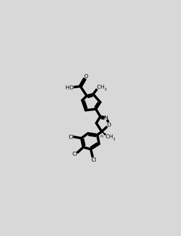 Cc1cc(C2=NO[C@](C)(c3cc(Cl)c(Cl)c(Cl)c3)C2)ccc1C(=O)O